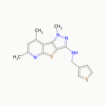 Cc1cc(C)c2c(n1)sc1c(NCc3ccsc3)nn(C)c12